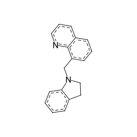 c1ccc2c(c1)CCN2Cc1cccc2cccnc12